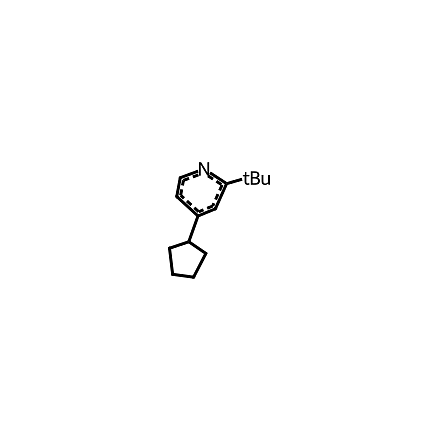 CC(C)(C)c1cc(C2CCCC2)ccn1